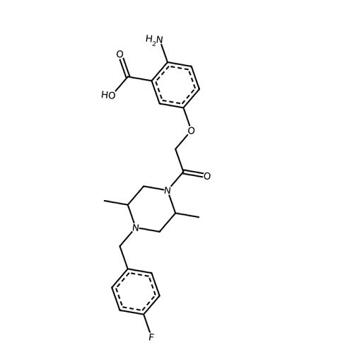 CC1CN(C(=O)COc2ccc(N)c(C(=O)O)c2)C(C)CN1Cc1ccc(F)cc1